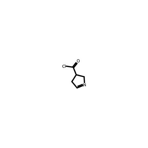 O=C(Cl)C1CC=NC1